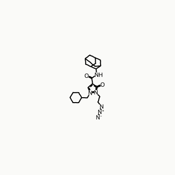 [N-]=[N+]=NCCn1c(=O)c(C(=O)NC2C3CC4CC(C3)CC2C4)cn1CC1CCCCC1